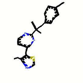 Cc1ccc(C(C)(C)c2nccc(-c3s[c]nc3C)n2)cc1